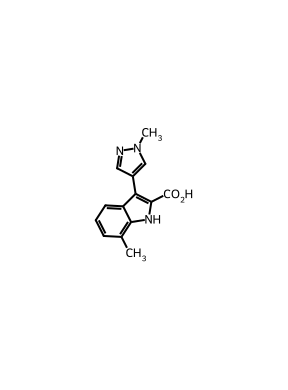 Cc1cccc2c(-c3cnn(C)c3)c(C(=O)O)[nH]c12